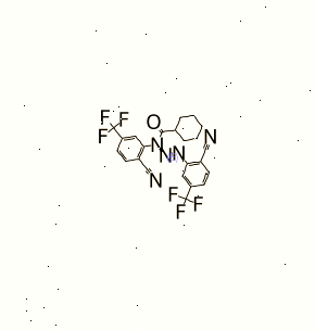 N#Cc1ccc(C(F)(F)F)cc1/N=N/N(C(=O)C1CCCCC1)c1cc(C(F)(F)F)ccc1C#N